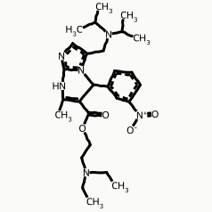 CCN(CC)CCOC(=O)C1=C(C)Nc2ncc(CN(C(C)C)C(C)C)n2C1c1cccc([N+](=O)[O-])c1